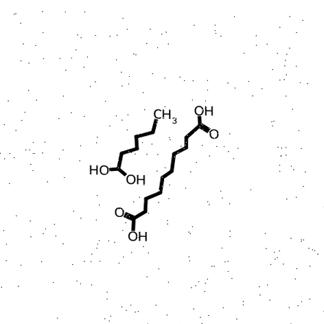 CCCCCC(O)O.O=C(O)CCCCCCCCC(=O)O